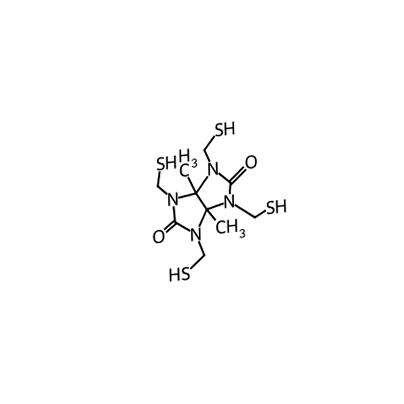 CC12N(CS)C(=O)N(CS)C1(C)N(CS)C(=O)N2CS